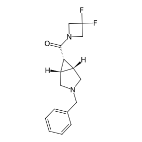 O=C([C@@H]1[C@@H]2CN(Cc3ccccc3)C[C@@H]21)N1CC(F)(F)C1